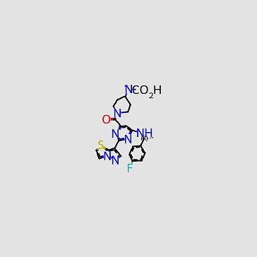 C[C@@H](Nc1cc(C(=O)N2CCC(N(C)C(=O)O)CC2)nc(-c2cnn3ccsc23)n1)c1ccc(F)cc1